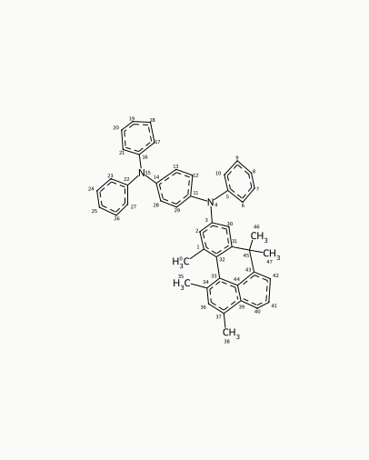 Cc1cc(N(c2ccccc2)c2ccc(N(c3ccccc3)c3ccccc3)cc2)cc2c1-c1c(C)cc(C)c3cccc(c13)C2(C)C